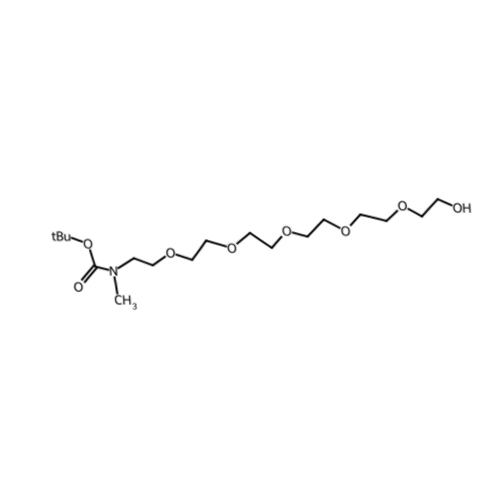 CN(CCOCCOCCOCCOCCOCCO)C(=O)OC(C)(C)C